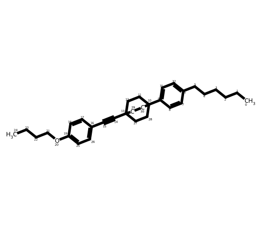 CCCCCCc1ccc(C23CCC(C#Cc4ccc(OCCCC)cc4)(CC2)CC3)cc1